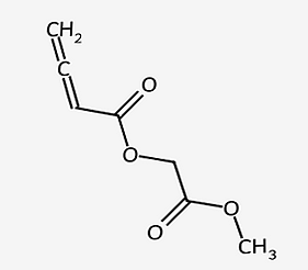 C=C=CC(=O)OCC(=O)OC